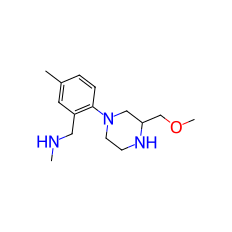 CNCc1cc(C)ccc1N1CCNC(COC)C1